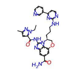 CCn1nc(C)cc1C(=O)Nc1nc2cc(C(N)=O)cc3c2n1[C@@H](CCCNc1nccc(-c2cccnc2)n1)CO3